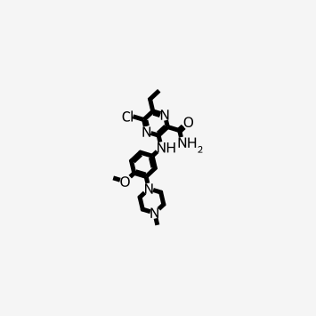 CCc1nc(C(N)=O)c(Nc2ccc(OC)c(N3CCN(C)CC3)c2)nc1Cl